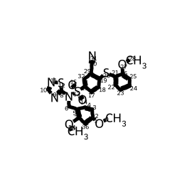 COc1ccc(CN(c2ncns2)S(=O)(=O)c2ccc(Sc3ccccc3OC)c(C#N)c2)c(OC)c1